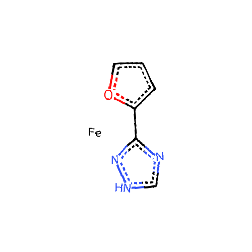 [Fe].c1coc(-c2nc[nH]n2)c1